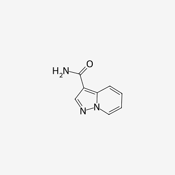 NC(=O)c1cnn2ccccc12